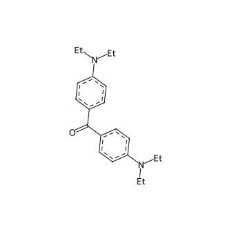 CCN(CC)c1ccc(C(=O)c2ccc(N(CC)CC)cc2)cc1